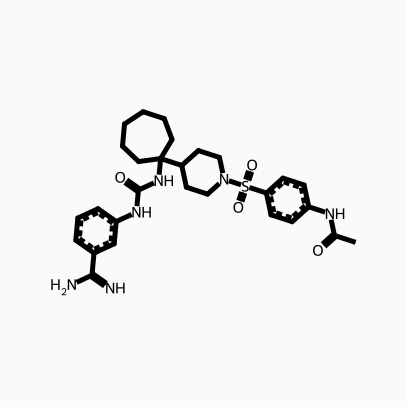 CC(=O)Nc1ccc(S(=O)(=O)N2CCC(C3(NC(=O)Nc4cccc(C(=N)N)c4)CCCCCC3)CC2)cc1